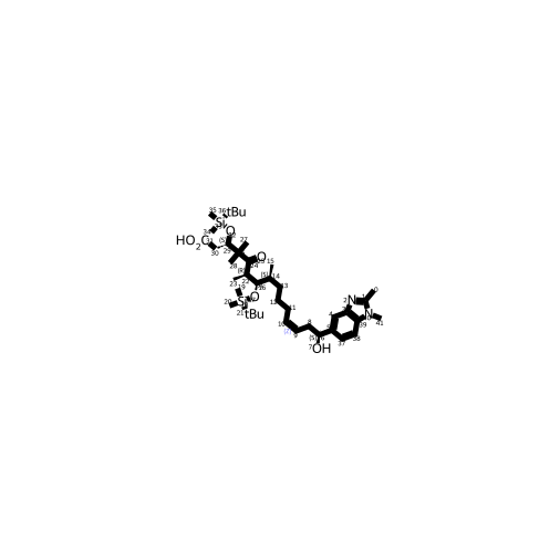 Cc1nc2cc([C@@H](O)C/C=C\CCC[C@H](C)[C@H](O[Si](C)(C)C(C)(C)C)[C@@H](C)C(=O)C(C)(C)[C@H](CC(=O)O)O[Si](C)(C)C(C)(C)C)ccc2n1C